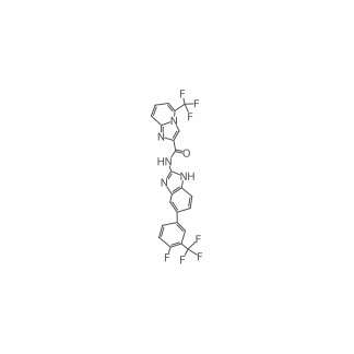 O=C(Nc1nc2cc(-c3ccc(F)c(C(F)(F)F)c3)ccc2[nH]1)c1cn2c(C(F)(F)F)cccc2n1